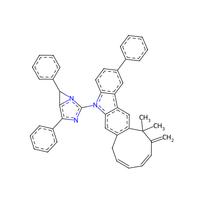 C=C1/C=C\C=C/Cc2cc3c(cc2C1(C)C)c1cc(-c2ccccc2)ccc1n3-c1nc(-c2ccccc2)c2n1C2c1ccccc1